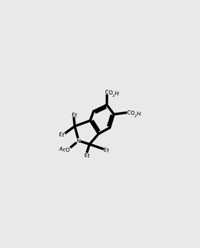 CCC1(CC)c2cc(C(=O)O)c(C(=O)O)cc2C(CC)(CC)N1OC(C)=O